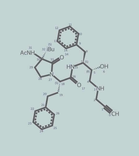 C#CCNC[C@@H](O)[C@H](Cc1ccccc1)NC(=O)[C@H](CCc1ccccc1)N1CCC(NC(C)=O)([C@@H](C)CC)C1=O